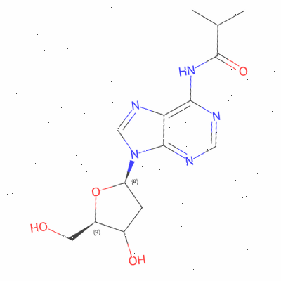 CC(C)C(=O)Nc1ncnc2c1ncn2[C@H]1CC(O)[C@@H](CO)O1